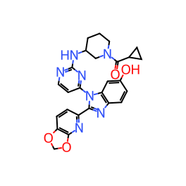 O=C(C1CC1)N1CCCC(Nc2nccc(-n3c(-c4ccc5c(n4)OCO5)nc4ccc(O)cc43)n2)C1